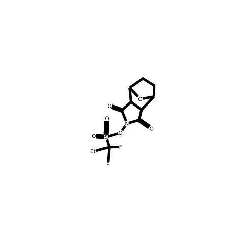 CCC(F)(F)S(=O)(=O)ON1C(=O)C2C3CCC(O3)C2C1=O